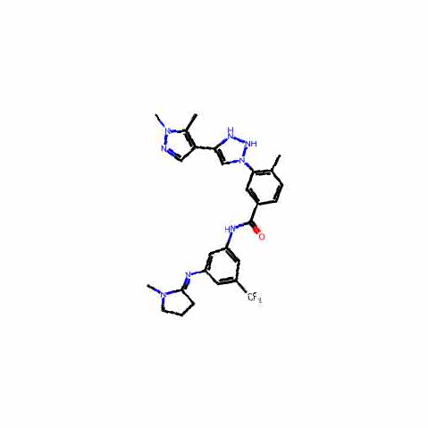 Cc1ccc(C(=O)Nc2cc(/N=C3\CCCN3C)cc(C(F)(F)F)c2)cc1N1C=C(c2cnn(C)c2C)NN1